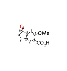 COc1cc2c(cc1C(=O)O)CCC2=O